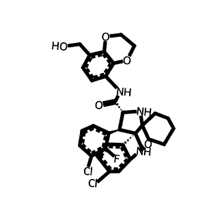 O=C(Nc1ccc(CO)c2c1OCCO2)[C@@H]1NC2(CCCCC2)[C@@]2(C(=O)Nc3cc(Cl)ccc32)[C@H]1c1cccc(Cl)c1F